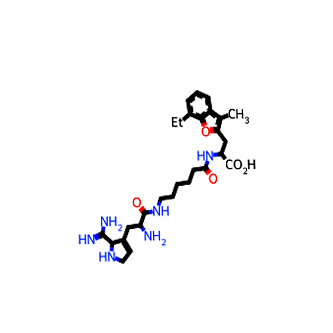 CCc1cccc2c(C)c(CC(NC(=O)CCCCCNC(=O)C(N)CC3=CCNC3C(=N)N)C(=O)O)oc12